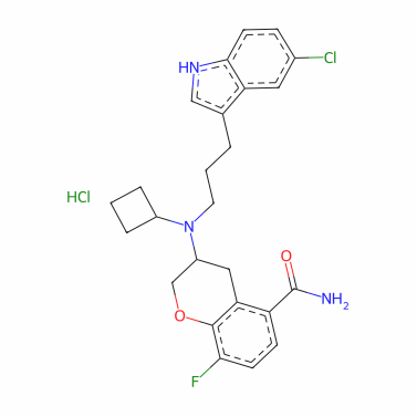 Cl.NC(=O)c1ccc(F)c2c1CC(N(CCCc1c[nH]c3ccc(Cl)cc13)C1CCC1)CO2